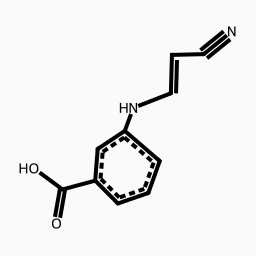 N#CC=CNc1cccc(C(=O)O)c1